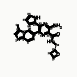 Cc1cnc2ccc(-c3nc(C(=O)NC[C@H]4CCO4)c(N)nc3-c3ccc[nH]3)cn12